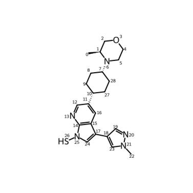 C[C@H]1COCCN1[C@H]1CC[C@@H](c2cnc3c(c2)c(-c2cnn(C)c2)cn3S)CC1